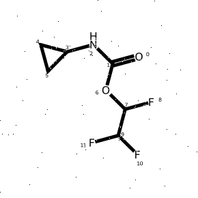 O=C(NC1CC1)OC(F)C(F)F